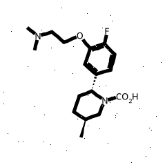 C[C@H]1CC[C@H](c2ccc(F)c(OCCN(C)C)c2)N(C(=O)O)C1